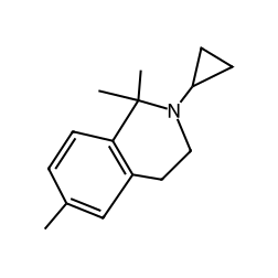 Cc1ccc2c(c1)CCN(C1CC1)C2(C)C